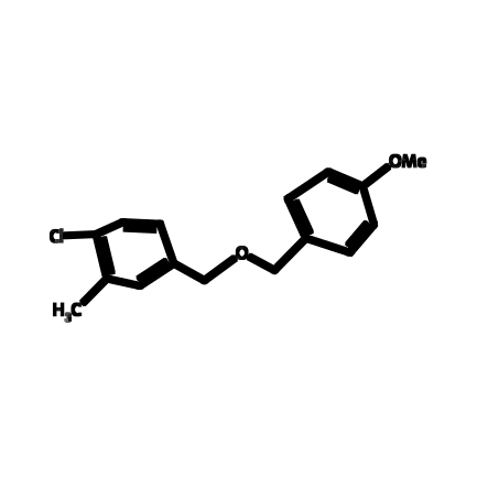 COc1ccc(COCc2ccc(Cl)c(C)c2)cc1